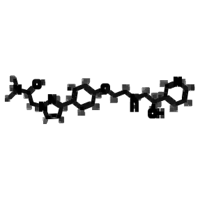 CN(C)C(=O)Cn1ccc(-c2ccc(OCCNC[C@H](O)c3cccnc3)cc2)n1